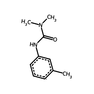 Cc1[c]ccc(NC(=O)N(C)C)c1